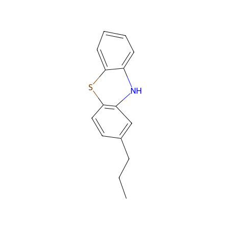 CCCc1ccc2c(c1)Nc1ccccc1S2